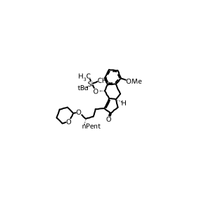 CCCCC[C@@H](CCC1=C2[C@H](CC1=O)Cc1c(OC)cccc1[C@H]2O[Si](C)(C)C(C)(C)C)OC1CCCCO1